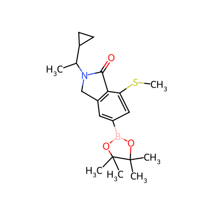 CSc1cc(B2OC(C)(C)C(C)(C)O2)cc2c1C(=O)N(C(C)C1CC1)C2